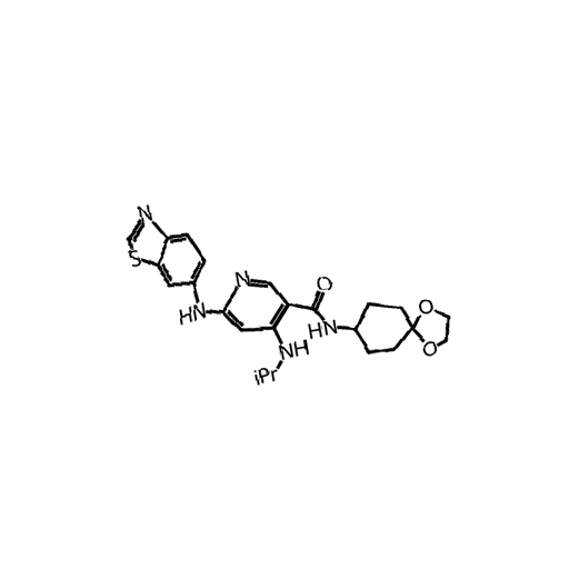 CC(C)Nc1cc(Nc2ccc3ncsc3c2)ncc1C(=O)NC1CCC2(CC1)OCCO2